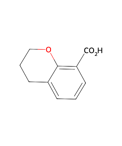 O=C(O)c1cccc2c1OCCC2